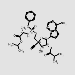 CC(C)OC(=O)[C@H](C)N[P@](=O)(OC[C@@]1(C#N)O[C@@H](c2ccc3c(N)ncnn23)[C@H](OC(=O)C(C)C)[C@@H]1O)Oc1ccccc1